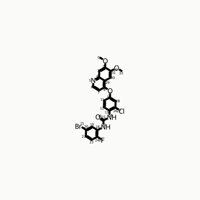 COc1cc2nccc(Oc3ccc(NC(=O)Nc4cc(Br)ccc4F)c(Cl)c3)c2cc1OC